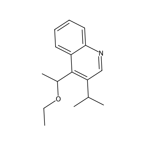 CCOC(C)c1c(C(C)C)cnc2ccccc12